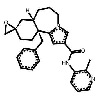 Cc1ncccc1NC(=O)c1cc2n(c1)CCC[C@H]1C[C@@]3(CC[C@@]21Cc1ccccc1)CO3